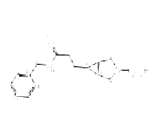 O=C(CCC1C2CN(C(=O)O)CC12)OCc1ccccc1